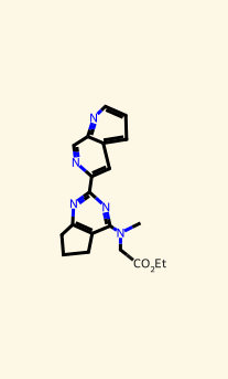 CCOC(=O)CN(C)c1nc(-c2cc3cccnc3cn2)nc2c1CCC2